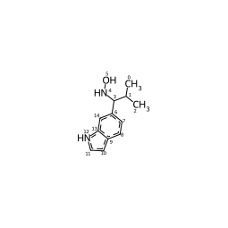 CC(C)C(NO)c1ccc2cc[nH]c2c1